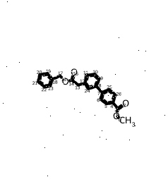 COC(=O)c1ccc(-c2cccc(CC(=O)OCc3ccccc3)c2)cc1